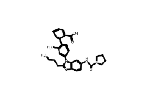 CCCCc1nc2ccc(NC(=O)N3CCCC3)cc2n1-c1ccc(-c2ccccc2C(=O)O)c(C)c1